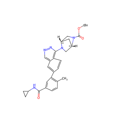 Cc1ccc(C(=O)NC2CC2)cc1-c1ccc2c(N3C[C@@H]4C[C@H]3CN4C(=O)OC(C)(C)C)nncc2c1